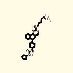 CN(C)CCCCNc1ncc2c(n1)-c1ccccc1C(c1ccc(NC(=O)NC3CCCC3)cc1)C2